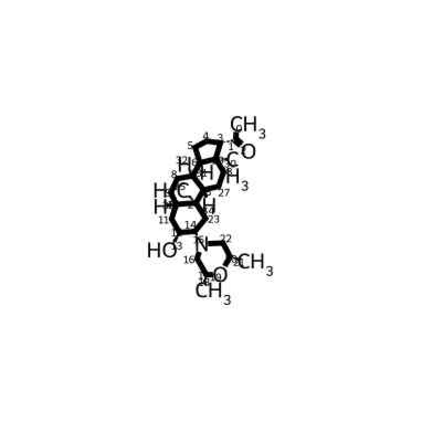 CC(=O)[C@H]1CC[C@H]2[C@@H]3CC[C@H]4C[C@H](O)[C@@H](N5C[C@@H](C)O[C@@H](C)C5)C[C@]4(C)[C@H]3CC[C@]12C